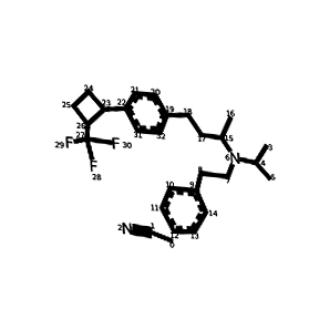 CC#N.CC(C)N(CCc1ccccc1)C(C)CCc1ccc(C2CCC2C(F)(F)F)cc1